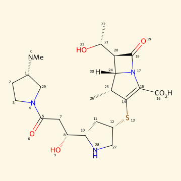 CN[C@H]1CCN(C(=O)C[C@@H](O)[C@@H]2C[C@H](SC3=C(C(=O)O)N4C(=O)[C@H]([C@@H](C)O)[C@H]4[C@H]3C)CN2)C1